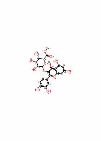 CCCCOC(=O)C1O[C@@H](Oc2c(-c3ccc(O)c(O)c3)oc3cc(O)cc(O)c3c2=O)C(O)[C@@H](O)[C@@H]1O